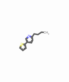 CCCCc1ccc(-c2cccs2)cn1